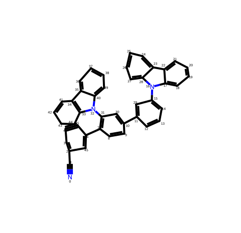 N#Cc1cc#cc(-c2ccc(-c3cccc(-n4c5ccccc5c5ccccc54)c3)cc2-n2c3c(c4ccccc42)C=CCC3)c1